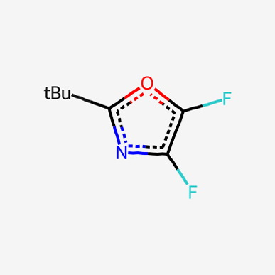 CC(C)(C)c1nc(F)c(F)o1